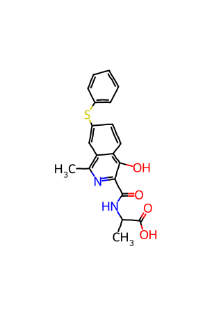 Cc1nc(C(=O)NC(C)C(=O)O)c(O)c2ccc(Sc3ccccc3)cc12